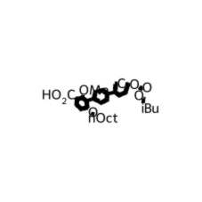 CCCCCCCCOc1ccc(C(=O)O)c(OC)c1-c1ccc(-c2ccc(OC(=O)OCC(C)CC)cc2)cc1